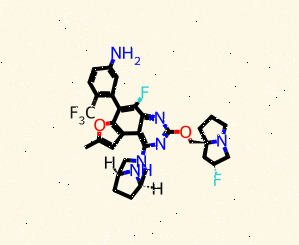 Cc1cc2c(o1)c(-c1cc(N)ccc1C(F)(F)F)c(F)c1nc(OC[C@@]34CCCN3C[C@H](F)C4)nc(N3C[C@H]4CC[C@@H](C3)N4)c12